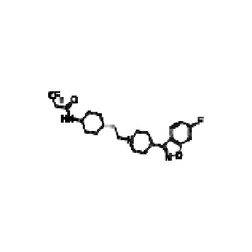 O=C(CC(F)(F)F)N[C@H]1CC[C@H](CCN2CCC(c3noc4cc(F)ccc34)CC2)CC1